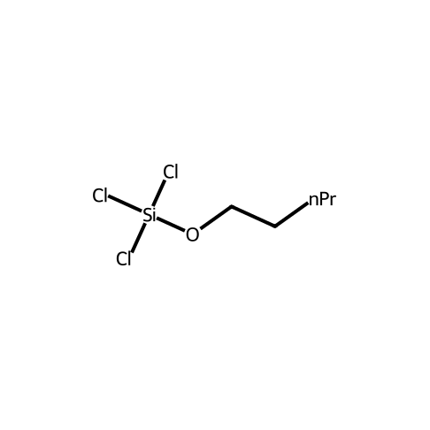 CCCCCO[Si](Cl)(Cl)Cl